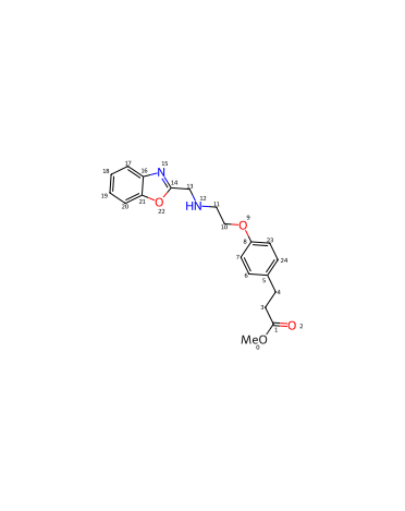 COC(=O)CCc1ccc(OCCNCc2nc3ccccc3o2)cc1